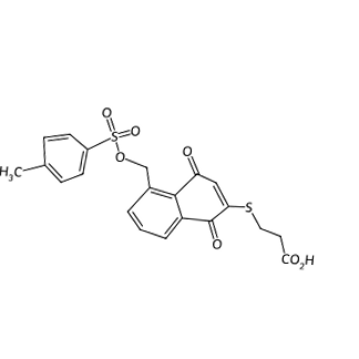 Cc1ccc(S(=O)(=O)OCc2cccc3c2C(=O)C=C(SCCC(=O)O)C3=O)cc1